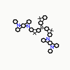 CC1(C)c2ccccc2-c2cc(B(c3ccc4c(c3)-c3cc(-n5c6ccccc6c6cc7c(cc65)c5ccccc5n7-c5ccccc5)ccc3C4(C)C)c3ccc4c(c3)-c3cc(-n5c6ccccc6c6cc7c(cc65)c5ccccc5n7-c5ccccc5)ccc3C4(C)C)ccc21